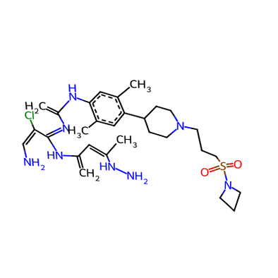 C=C(/C=C(/C)NN)NC(=N/C(=C)Nc1cc(C)c(C2CCN(CCCS(=O)(=O)N3CCC3)CC2)cc1C)/C(Cl)=C\N